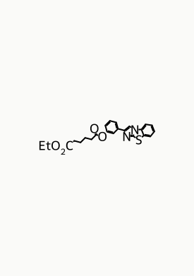 CCOC(=O)CCCCC(=O)Oc1cccc(-c2cn3c(n2)sc2ccccc23)c1